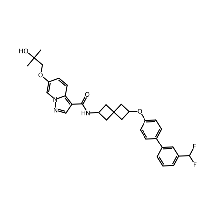 CC(C)(O)COc1ccc2c(C(=O)NC3CC4(C3)CC(Oc3ccc(-c5cccc(C(F)F)c5)cc3)C4)cnn2c1